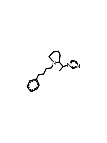 CC(C1CCCCN1CCCCc1ccccc1)n1ccnc1